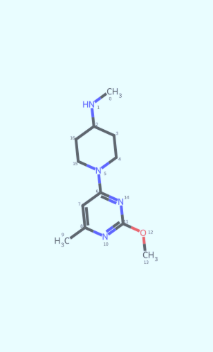 CNC1CCN(c2cc(C)nc(OC)n2)CC1